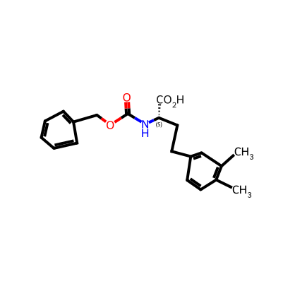 Cc1ccc(CC[C@H](NC(=O)OCc2ccccc2)C(=O)O)cc1C